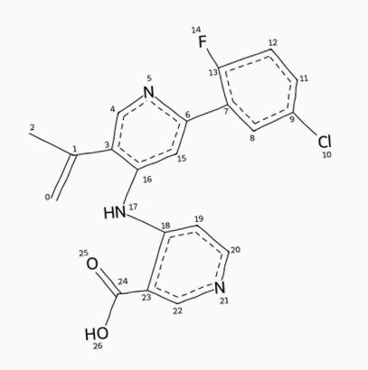 C=C(C)c1cnc(-c2cc(Cl)ccc2F)cc1Nc1ccncc1C(=O)O